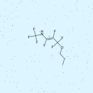 CCCOC(F)(F)/C(F)=C(\F)NC(F)(F)F